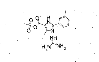 Cc1cccc(-c2nc(C)c(C(=O)OS(C)(=O)=O)[nH]2)c1.N=C(N)N